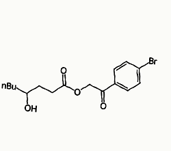 CCCCC(O)CCC(=O)OCC(=O)c1ccc(Br)cc1